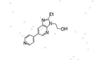 CCc1nc2cc(-c3ccncc3)cnc2n1CCO